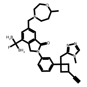 BC(B)(F)c1cc(CN2CCOC(C)CC2)cc2c1CN(c1cccc(C3(Cc4nncn4C)CC(C#C)C3)c1)C2=O